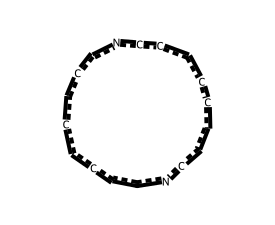 c1ccccnccccccccnccc1